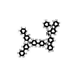 c1ccc(-c2ccc(N(c3ccc(-c4ccccc4)cc3)c3ccc(-c4ccc(-n5c6ccccc6c6ccc(-n7ncc8c7ccc7c9ccccc9n(-c9ccccc9)c78)cc65)cc4)cc3)cc2)cc1